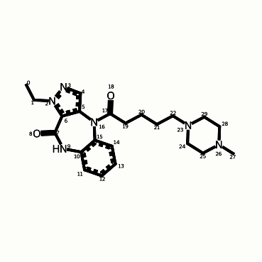 CCn1ncc2c1C(=O)Nc1ccccc1N2C(=O)CCCCN1CCN(C)CC1